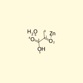 CC(=O)C(=O)O.O.[Zn]